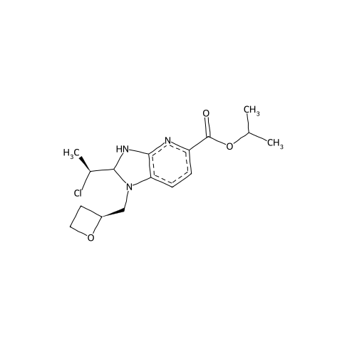 CC(C)OC(=O)c1ccc2c(n1)NC([C@H](C)Cl)N2C[C@@H]1CCO1